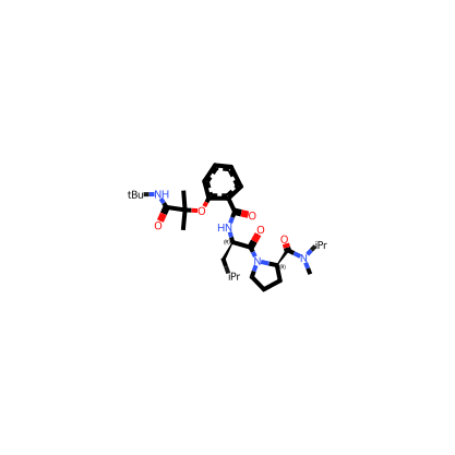 CC(C)C[C@@H](NC(=O)c1ccccc1OC(C)(C)C(=O)NC(C)(C)C)C(=O)N1CCC[C@@H]1C(=O)N(C)C(C)C